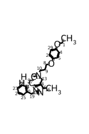 CCOc1ccc(OCCCN(C)Cc2c(C)nn(Cc3ccccc3)c2C)cc1